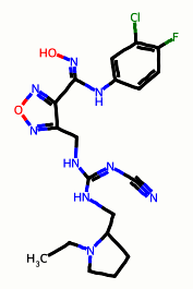 CCN1CCCC1CNC(=NC#N)NCc1nonc1C(=NO)Nc1ccc(F)c(Cl)c1